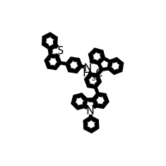 CC12c3ccccc3-c3cccc(c31)N(c1ccc(-c3cccc4c3sc3ccccc34)cc1)c1ccc(-c3cccc4c3c3ccccc3n4-c3ccccc3)cc12